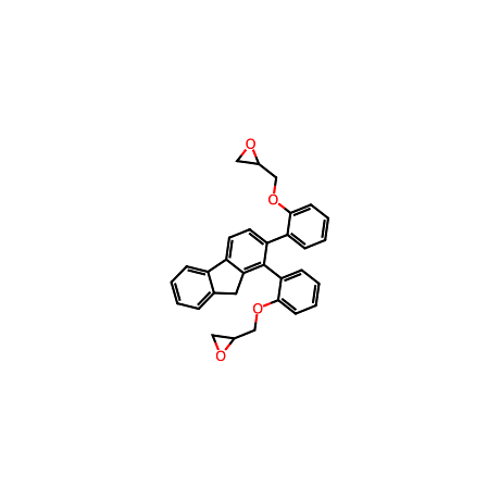 c1ccc2c(c1)Cc1c-2ccc(-c2ccccc2OCC2CO2)c1-c1ccccc1OCC1CO1